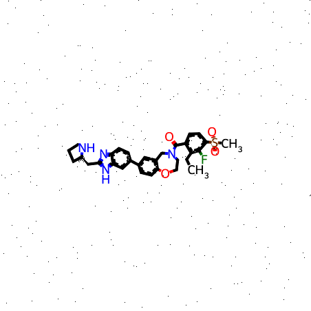 CCc1c(C(=O)N2CCOc3ccc(-c4ccc5nc(C[C@H]6CCCN6)[nH]c5c4)cc3C2)ccc(S(C)(=O)=O)c1F